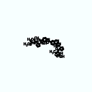 COC(=O)N[C@H](C(=O)N1CCC[C@H]1c1nc2ccc3nc(-c4ccc5c(cnc6nc([C@@H]7CCCN7C(=O)[C@@H](NC(=O)O)C(C)C)[nH]c65)c4)oc3c2[nH]1)C(C)C